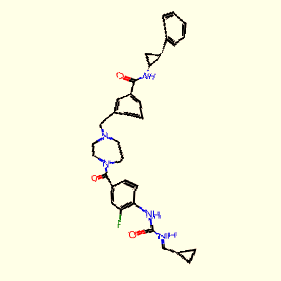 O=C(NCC1CC1)Nc1ccc(C(=O)N2CCN(Cc3cccc(C(=O)N[C@@H]4C[C@H]4c4ccccc4)c3)CC2)cc1F